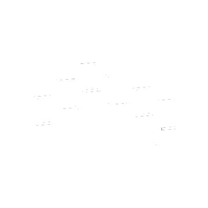 CC(C)NC(=O)c1cc(Nc2ncc(Cl)c(Nc3ccccc3NS(C)(=O)=O)n2)c(F)cc1F